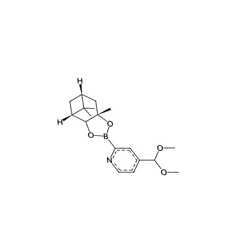 COC(OC)c1ccnc(B2OC3[C@@H]4C[C@H](C[C@]3(C)O2)C4(C)C)c1